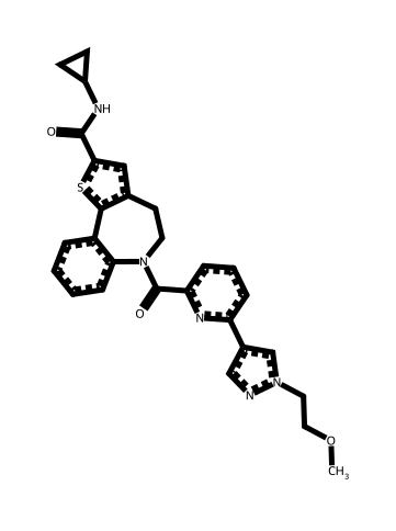 COCCn1cc(-c2cccc(C(=O)N3CCc4cc(C(=O)NC5CC5)sc4-c4ccccc43)n2)cn1